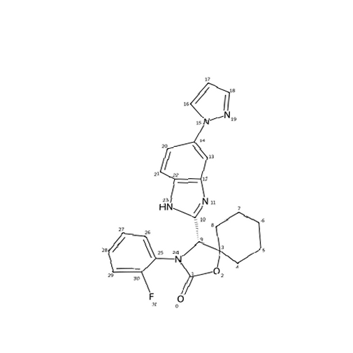 O=C1OC2(CCCCC2)[C@@H](c2nc3cc(-n4cccn4)ccc3[nH]2)N1c1ccccc1F